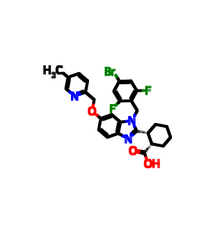 Cc1ccc(COc2ccc3nc([C@@H]4CCCC[C@@H]4C(=O)O)n(Cc4c(F)cc(Br)cc4F)c3c2)nc1